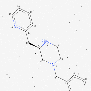 c1ccc(CN2CCN[C@H](Cc3ccccn3)C2)cc1